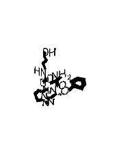 CC(C)(N)C(=O)N[C@H](COCc1ccccc1)c1nnc2n1C(COC(=O)NCCCCO)CCC2